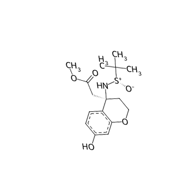 COC(=O)C[C@]1(N[S@@+]([O-])C(C)(C)C)CCOc2cc(O)ccc21